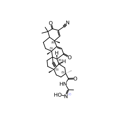 C#CC12CC[C@@]3(C)CC[C@](C)(C(=O)N/C(C)=N\O)C[C@H]3[C@H]1C(=O)C=C1[C@@]3(C)C=C(C#N)C(=O)C(C)(C)C3CC[C@]12C